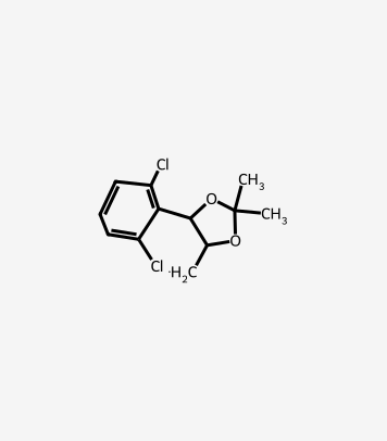 [CH2]C1OC(C)(C)OC1c1c(Cl)cccc1Cl